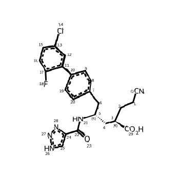 N#CCC[C@H](C[C@@H](Cc1ccc(-c2cc(Cl)ccc2F)cc1)NC(=O)c1c[nH]nn1)C(=O)O